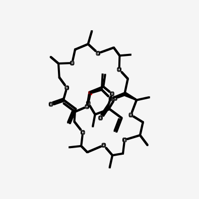 C=CC(=O)OCC(C)OCC(C)OCC(C)OCC(C)OCC(C)OCC(C)OCC(C)OCC(C)OCC(C)OCC(C)OCC(C)OCC(C)OC(=O)C=C